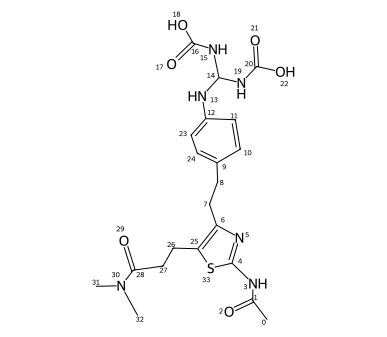 CC(=O)Nc1nc(CCc2ccc(NC(NC(=O)O)NC(=O)O)cc2)c(CCC(=O)N(C)C)s1